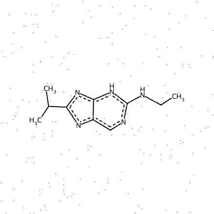 CCNc1ncc2nc(C(C)C)nc-2[nH]1